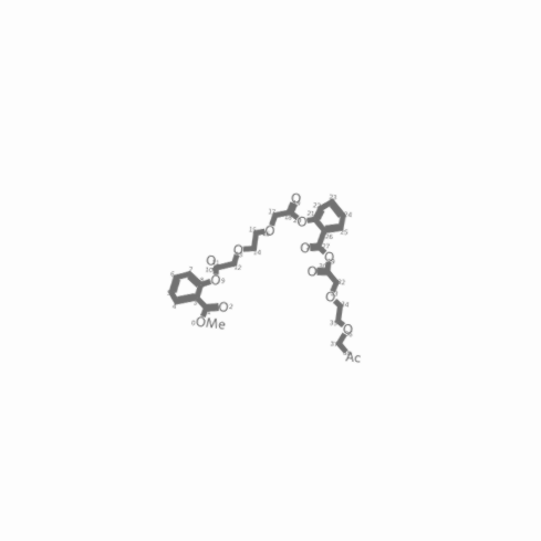 COC(=O)c1ccccc1OC(=O)COCCOCC(=O)Oc1ccccc1C(=O)OC(=O)COCCOCC(C)=O